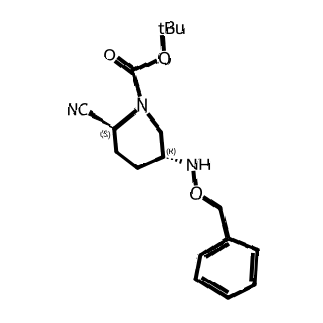 CC(C)(C)OC(=O)N1C[C@H](NOCc2ccccc2)CC[C@H]1C#N